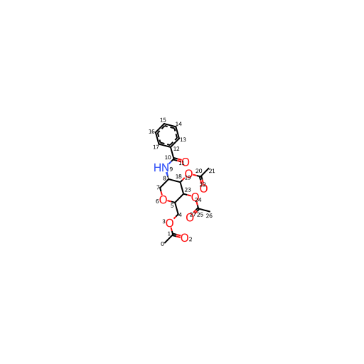 CC(=O)OCC1OC[C@@H](NC(=O)c2ccccc2)C(OC(C)=O)C1OC(C)=O